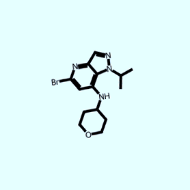 CC(C)n1ncc2nc(Br)cc(NC3CCOCC3)c21